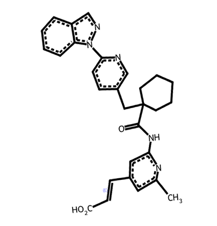 Cc1cc(/C=C/C(=O)O)cc(NC(=O)C2(Cc3ccc(-n4ncc5ccccc54)nc3)CCCCC2)n1